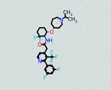 CC(C)N1CCC[C@@H](O[C@H]2CCCC(F)(F)[C@@H]2NC(=O)Cc2ccnc(-c3cc(F)cc(F)c3)c2C(F)(F)F)CC1